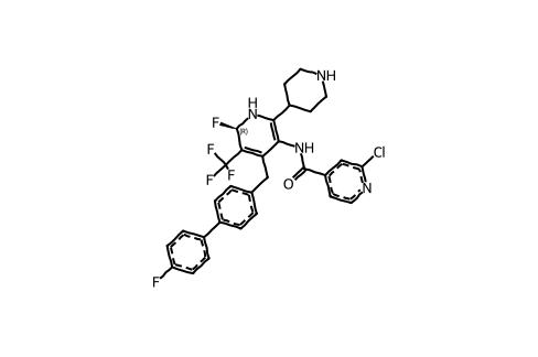 O=C(NC1=C(C2CCNCC2)N[C@H](F)C(C(F)(F)F)=C1Cc1ccc(-c2ccc(F)cc2)cc1)c1ccnc(Cl)c1